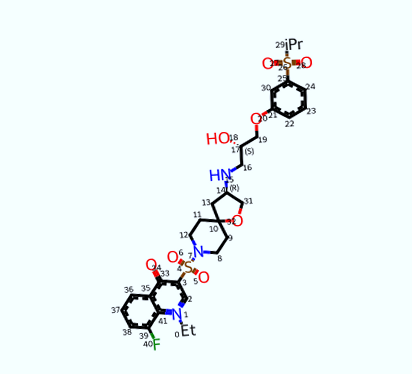 CCn1cc(S(=O)(=O)N2CCC3(CC2)C[C@@H](NC[C@H](O)COc2cccc(S(=O)(=O)C(C)C)c2)CO3)c(=O)c2cccc(F)c21